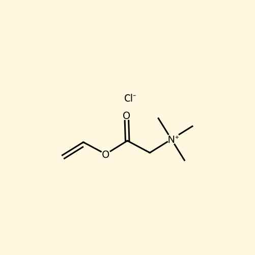 C=COC(=O)C[N+](C)(C)C.[Cl-]